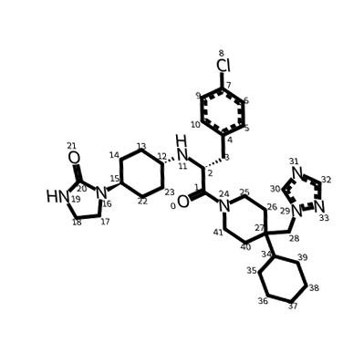 O=C([C@@H](Cc1ccc(Cl)cc1)N[C@H]1CC[C@H](N2CCNC2=O)CC1)N1CCC(Cn2cncn2)(C2CCCCC2)CC1